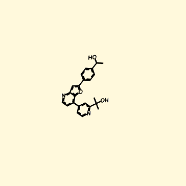 CC(O)c1ccc(-c2cc3nccc(-c4ccnc(C(C)(C)O)c4)c3o2)cc1